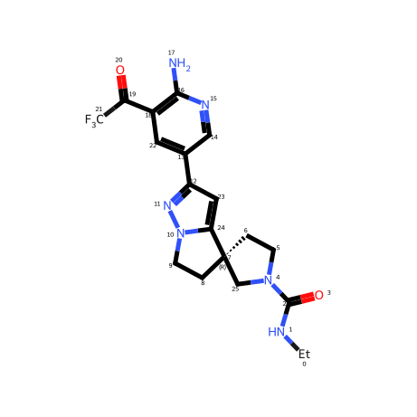 CCNC(=O)N1CC[C@@]2(CCn3nc(-c4cnc(N)c(C(=O)C(F)(F)F)c4)cc32)C1